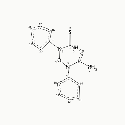 NC(=S)N(ON(C(N)=S)c1ccccc1)c1ccccc1